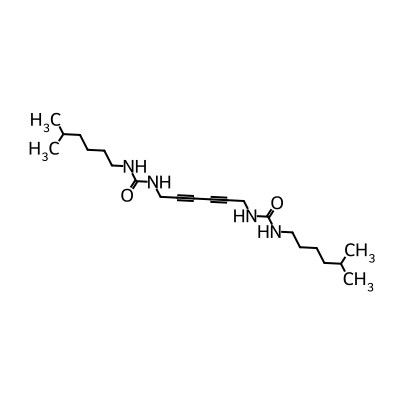 CC(C)CCCCNC(=O)NCC#CC#CCNC(=O)NCCCCC(C)C